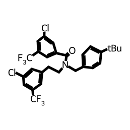 CC(C)(C)c1ccc(CN(CCc2cc(Cl)cc(C(F)(F)F)c2)C(=O)c2cc(Cl)cc(C(F)(F)F)c2)cc1